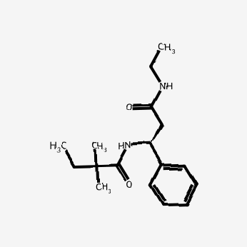 CCNC(=O)C[C@H](NC(=O)C(C)(C)CC)c1ccccc1